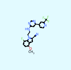 COc1ccc(F)c2c1cc(C#N)n2CCNc1cc(-c2ccnc(C(F)(F)F)c2)ncn1